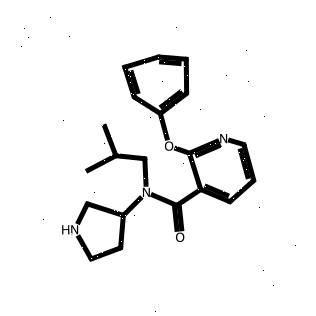 CC(C)CN(C(=O)c1cccnc1Oc1ccccc1)C1CCNC1